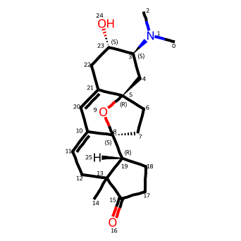 CN(C)[C@H]1C[C@@]23CC[C@@]4(O2)C(=CCC2(C)C(=O)CC[C@H]24)C=C3C[C@@H]1O